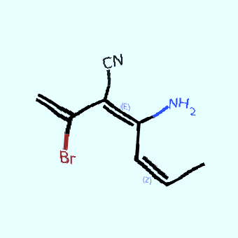 C=C(Br)/C(C#N)=C(N)\C=C/C